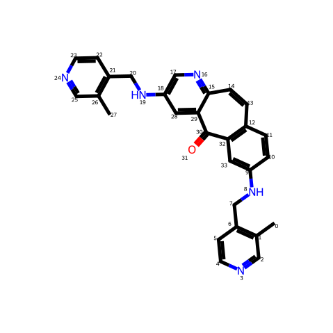 Cc1cnccc1CNc1ccc2ccc3ncc(NCc4ccncc4C)cc3c(=O)c2c1